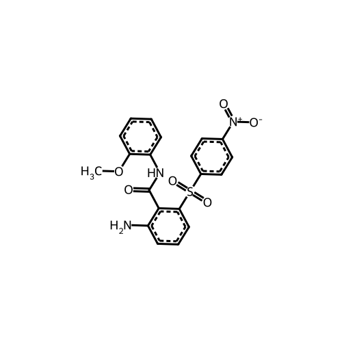 COc1ccccc1NC(=O)c1c(N)cccc1S(=O)(=O)c1ccc([N+](=O)[O-])cc1